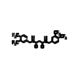 O=C(CC(=O)NCc1ccc(C(F)(F)F)c(C(F)(F)F)c1)NCc1ccc(C(F)(F)F)c(C(F)(F)F)c1